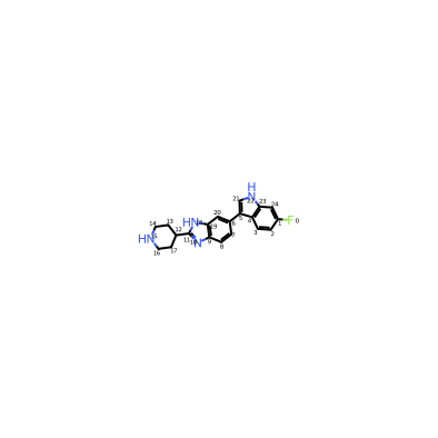 Fc1ccc2c(-c3ccc4nc(C5CCNCC5)[nH]c4c3)c[nH]c2c1